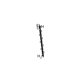 CCNC(=O)CCOCCOCCOCCOCCOCCOCCOCCN